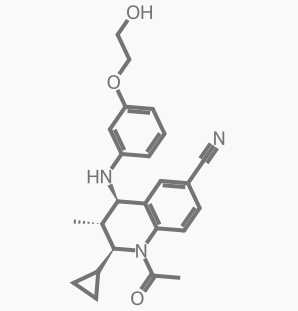 CC(=O)N1c2ccc(C#N)cc2[C@H](Nc2cccc(OCCO)c2)[C@@H](C)[C@@H]1C1CC1